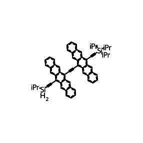 CC(C)[SiH2]C#Cc1c2cc3ccccc3cc2c(C#Cc2c3cc4ccccc4cc3c(C#C[Si](C(C)C)(C(C)C)C(C)C)c3cc4ccccc4cc23)c2cc3ccccc3cc12